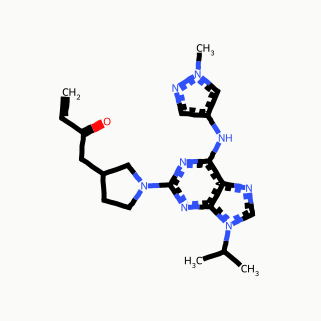 C=CC(=O)CC1CCN(c2nc(Nc3cnn(C)c3)c3ncn(C(C)C)c3n2)C1